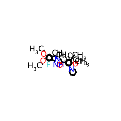 CCOc1cc2c(c(F)c1OCC)C(=N)N(CC(=O)c1cc(N3CCCCC3)c(OC)c(C(C)(C)C)c1)C2(C)C